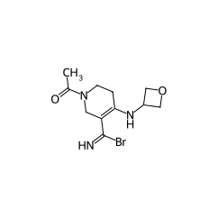 CC(=O)N1CCC(NC2COC2)=C(C(=N)Br)C1